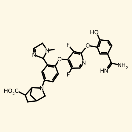 CN1CC=NC1c1cc(N2CC3CC(C(=O)O)C2C3)ccc1Oc1c(F)cnc(Oc2cc(C(=N)N)ccc2O)c1F